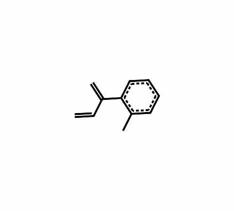 C=CC(=C)c1ccccc1C